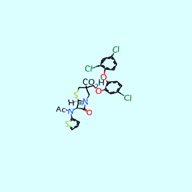 CC(=O)N(c1cccs1)C1C(=O)N2CC(COc3cc(Cl)ccc3Oc3ccc(Cl)cc3Cl)(C(=O)O)CS[C@H]12